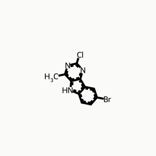 Cc1nc(Cl)nc2c1[nH]c1ccc(Br)cc12